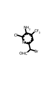 Nc1c(C(F)(F)F)cc(C(Br)C=O)nc1Cl